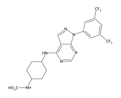 O=C(O)NC1CCC(Nc2ncnc3c2cnn3-c2cc(C(F)(F)F)cc(C(F)(F)F)c2)CC1